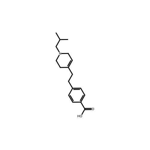 CC(C)CN1CC=C(CCc2ccc(C(=O)O)cc2)CC1